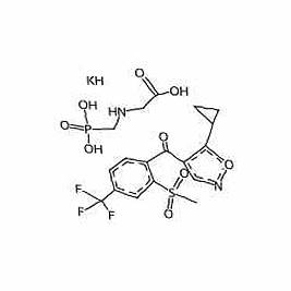 CS(=O)(=O)c1cc(C(F)(F)F)ccc1C(=O)c1cnoc1C1CC1.O=C(O)CNCP(=O)(O)O.[KH]